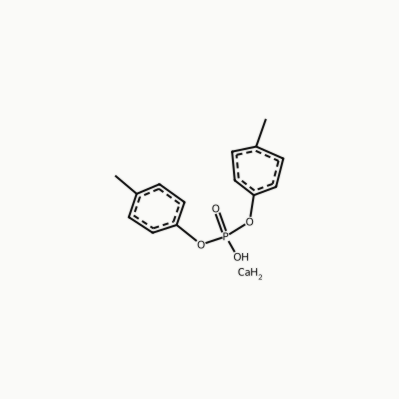 Cc1ccc(OP(=O)(O)Oc2ccc(C)cc2)cc1.[CaH2]